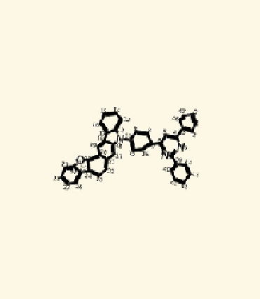 c1ccc(-c2cc(-c3ccc(-n4c5ccccc5c5cc6c(ccc7c8ccccc8oc67)cc54)cc3)nc(-c3ccccc3)n2)cc1